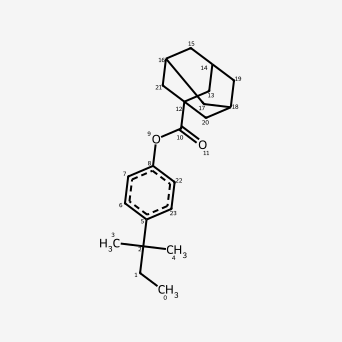 CCC(C)(C)c1ccc(OC(=O)C23CC4CC(CC(C4)C2)C3)cc1